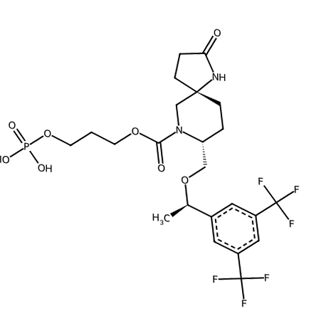 C[C@@H](OC[C@H]1CC[C@]2(CCC(=O)N2)CN1C(=O)OCCCOP(=O)(O)O)c1cc(C(F)(F)F)cc(C(F)(F)F)c1